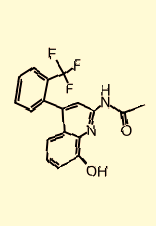 CC(=O)Nc1cc(-c2ccccc2C(F)(F)F)c2cccc(O)c2n1